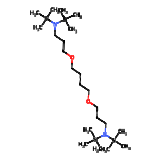 C[Si](C)(C)N(CCCOCCCCOCCCN([Si](C)(C)C)[Si](C)(C)C)[Si](C)(C)C